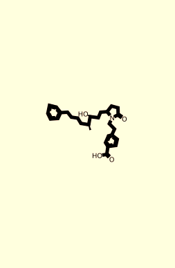 C[C@@H](CCCCc1ccccc1)[C@H](O)CCC1CCC(=O)N1CCc1ccc(C(=O)O)cc1